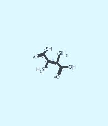 O=C(O)/C([SiH3])=C(\[SiH3])C(=O)S